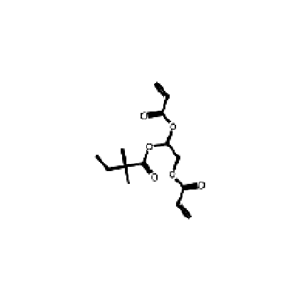 C=CC(=O)OCC(OC(=O)C=C)OC(=O)C(C)(C)CC